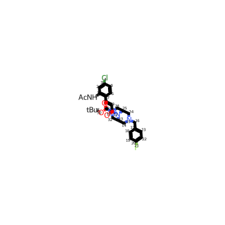 CC(=O)Nc1cc(Cl)ccc1C=CC(=O)N1C2CN(Cc3ccc(F)cc3)CC1CN(C(=O)OC(C)(C)C)C2